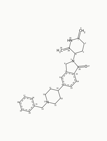 C=C1CCC(N2Cc3cc(C4CCN(Cc5ccccc5)CC4)ccc3C2=O)C(=C)N1